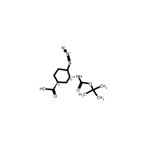 CC(C)(C)OC(=O)N[C@@H]1C[C@@H](C(=O)O)CCC1N=[N+]=[N-]